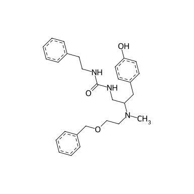 CN(CCOCc1ccccc1)C(CNC(=O)NCCc1ccccc1)Cc1ccc(O)cc1